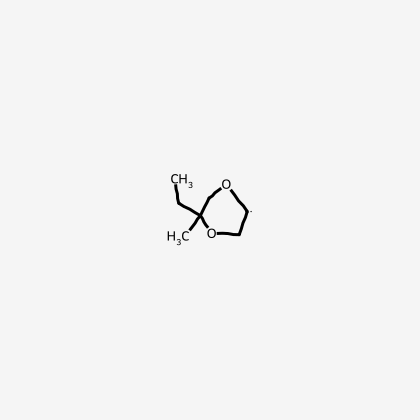 CCC1(C)CO[CH]CO1